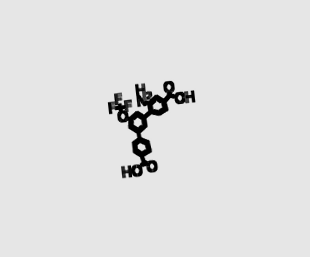 Nc1cc(C(=O)O)ccc1-c1cc(OC(F)(F)F)cc(-c2ccc(C(=O)O)cc2)c1